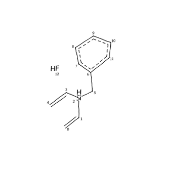 C=C[SiH](C=C)Cc1ccccc1.F